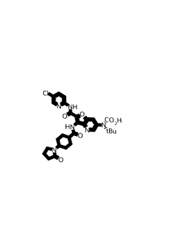 CC(C)(C)N(C(=O)O)c1cnc2c(NC(=O)C3CCC(N4CCCC4=O)CC3)c(C(=O)Nc3ccc(Cl)cn3)oc2c1